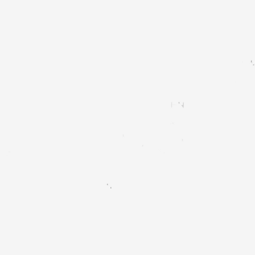 COc1cccc(NC(=O)CS(=O)(=O)c2cn(Cc3ccc(Cl)cc3)c3ccccc23)c1